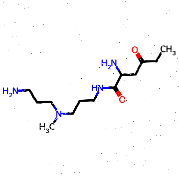 CCC(=O)CC(N)C(=O)NCCCN(C)CCCN